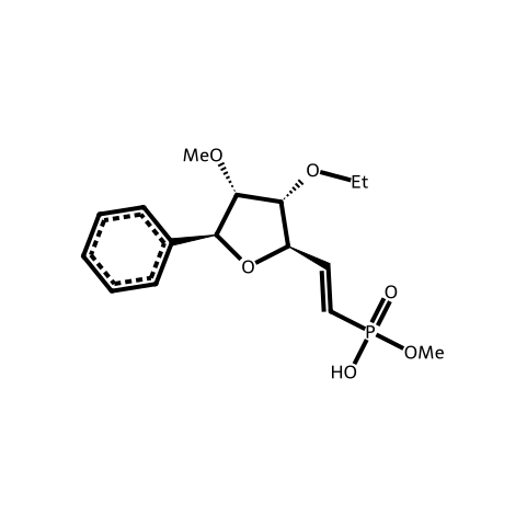 CCO[C@H]1[C@@H](OC)[C@H](c2ccccc2)O[C@@H]1/C=C/P(=O)(O)OC